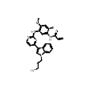 C=CC(=O)Nc1cc(Nc2nccc(-c3cn(CCCO)c4ccccc34)n2)c(OC)cc1F